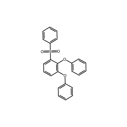 O=S(=O)(c1ccccc1)c1cccc(Oc2ccccc2)c1Oc1ccccc1